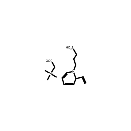 C=CC1C=CC=CN1CCCS(=O)(=O)O.C[N+](C)(C)CC(=O)[O-]